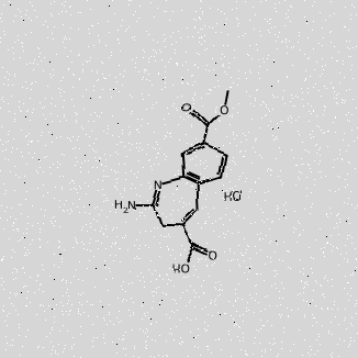 COC(=O)c1ccc2c(c1)N=C(N)CC(C(=O)O)=C2.Cl